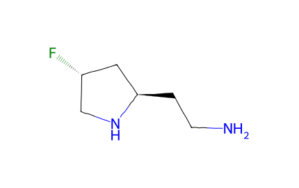 NCC[C@@H]1C[C@@H](F)CN1